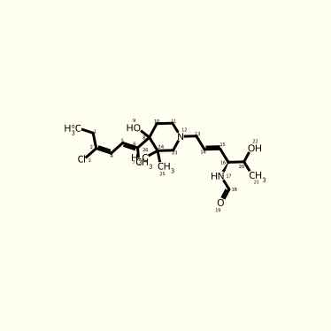 CC/C(Cl)=C\C=C(/C)C1(O)CCN(C/C=C/[C@H](NC=O)C(C)O)CC1(C)C